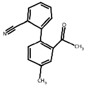 CC(=O)c1cc(C)ccc1-c1ccccc1C#N